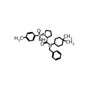 Cc1ccc(S(=N)(=O)N2CCC[C@H]2C(=O)N(Cc2ccccc2)C2CCC(C)(C)CC2)cc1